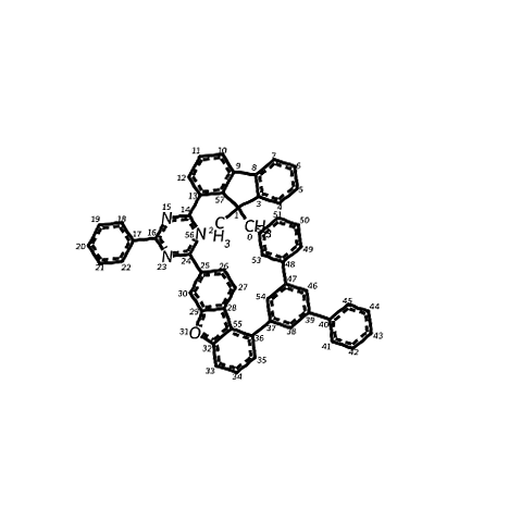 CC1(C)c2ccccc2-c2cccc(-c3nc(-c4ccccc4)nc(-c4ccc5c(c4)oc4cccc(-c6cc(-c7ccccc7)cc(-c7ccccc7)c6)c45)n3)c21